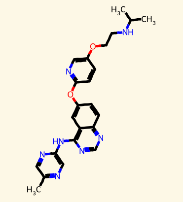 Cc1cnc(Nc2ncnc3ccc(Oc4ccc(OCCNC(C)C)cn4)cc23)cn1